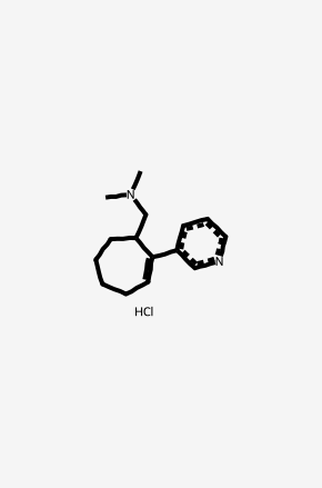 CN(C)CC1CCCCC=C1c1cccnc1.Cl